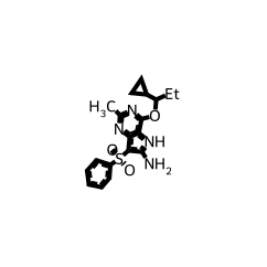 CCC(Oc1nc(C)nc2c(S(=O)(=O)c3ccccc3)c(N)[nH]c12)C1CC1